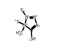 C[N+]1([S-])C(S)=NN=[N+]1[S-]